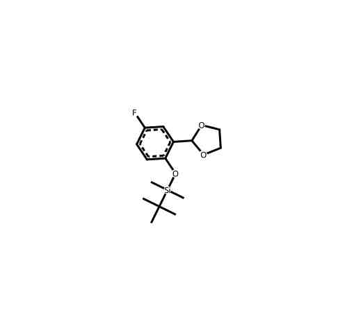 CC(C)(C)[Si](C)(C)Oc1ccc(F)cc1C1OCCO1